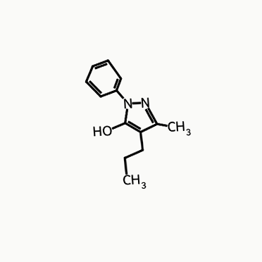 CCCc1c(C)nn(-c2ccccc2)c1O